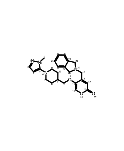 Cn1nccc1N1CCC(COc2coc(=O)cc2CN2Cc3ccccc3C2)CC1